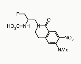 CNc1cc2c(cc1[N+](=O)[O-])C(=O)N(CC(CF)NC(=O)O)CC2